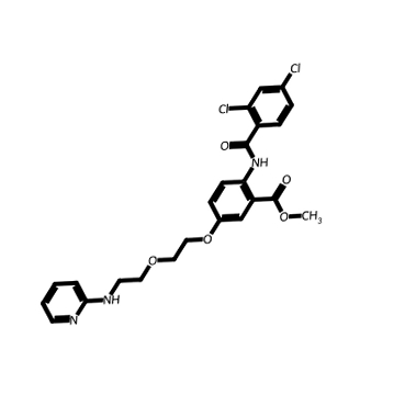 COC(=O)c1cc(OCCOCCNc2ccccn2)ccc1NC(=O)c1ccc(Cl)cc1Cl